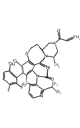 C=CC(=O)N1CC(C)N2c3nc(=O)n(-c4c(C)ccnc4C(C)C)c4c(F)c(-c5c(O)ccc(F)c5F)c(Cl)c(c34)OCCC2C1